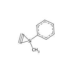 C[Si]1(c2ccccc2)C#C1